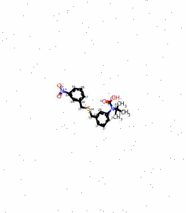 CC(C)(C)N(C(=O)O)c1cccc(CSCc2cccc([N+](=O)[O-])c2)c1